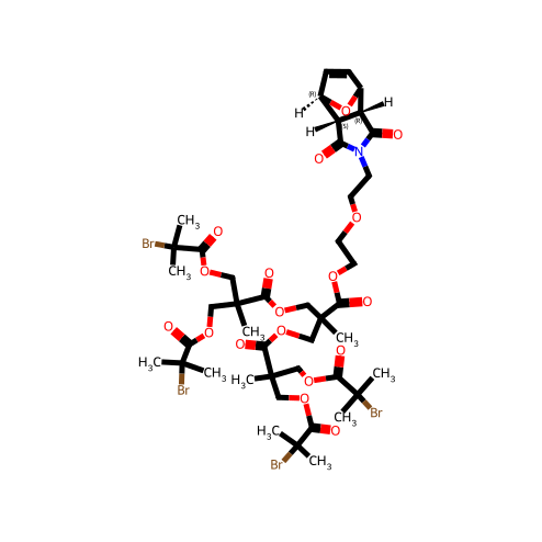 CC(C)(Br)C(=O)OCC(C)(COC(=O)C(C)(C)Br)C(=O)OCC(C)(COC(=O)C(C)(COC(=O)C(C)(C)Br)COC(=O)C(C)(C)Br)C(=O)OCCOCCN1C(=O)[C@@H]2[C@H]3C=CC(O3)[C@@H]2C1=O